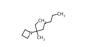 CCCCCC(C)(CC)N1CCC1